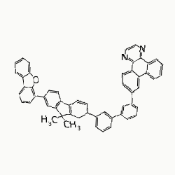 CC1(C)C2=C(C=CC(c3cccc(-c4cccc(-c5ccc6c(c5)c5ccccc5c5nccnc65)c4)c3)C2)c2ccc(-c3cccc4c3oc3ccccc34)cc21